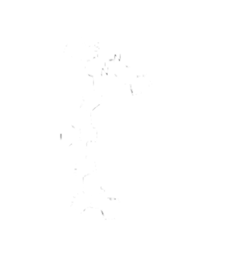 c1ccc2cc3c(cc2c1)nc1c2sc4ccccc4c2cc(-c2ccc(-c4ccc(-c5ccc(-c6cccc7c6sc6ccccc67)cc5)c5ccccc45)cc2)n31